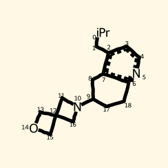 CC(C)Cc1ccnc2c1CC(N1CC3(COC3)C1)CC2